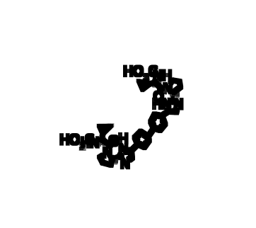 O=C(O)N[C@@H](C(=O)N1CCC[C@@H]1c1ncc(-c2ccc(-c3ccc(-c4cnc([C@H]5CCCN5C(=O)[C@H](NC(=O)O)C5CC5)[nH]4)cc3)cc2)[nH]1)C1CC1